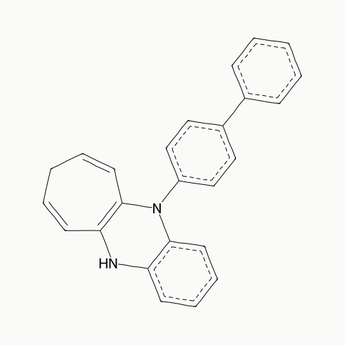 C1=CC2=C(C=CC1)N(c1ccc(-c3ccccc3)cc1)c1ccccc1N2